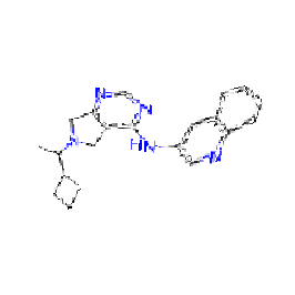 CC(C1CCC1)N1Cc2ncnc(Nc3cnc4ccccc4c3)c2C1